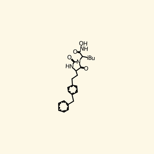 CCC(C)C(C(=O)NO)N1C(=O)NC(CCc2ccc(Cc3ccccc3)cc2)C1=O